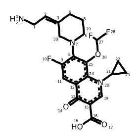 NC/C=C1/CCCN(c2c(F)cc3c(=O)c(C(=O)O)cn(C4CC4)c3c2OC(F)F)C1